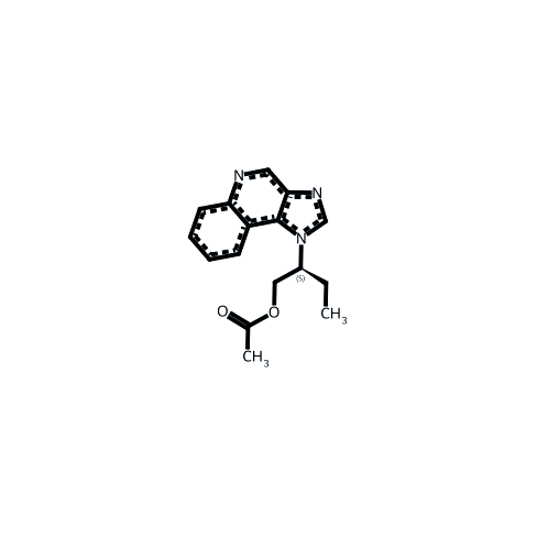 CC[C@@H](COC(C)=O)n1cnc2cnc3ccccc3c21